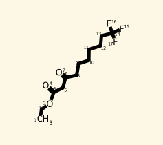 CCOC(=O)CC(=O)CCCCCCC(F)(F)F